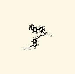 CN(CCCOc1ccc2c(c1)CC[C@H]2CC=O)c1nccc(-c2ccc3c(c2)OCO3)n1